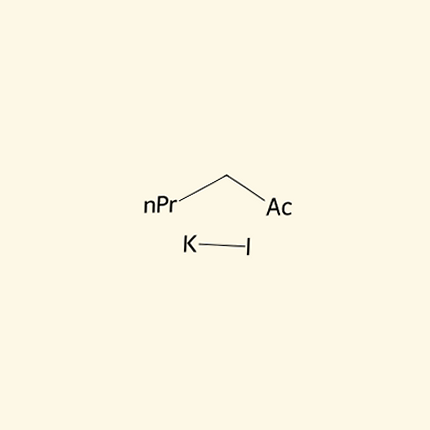 CCCCC(C)=O.[K][I]